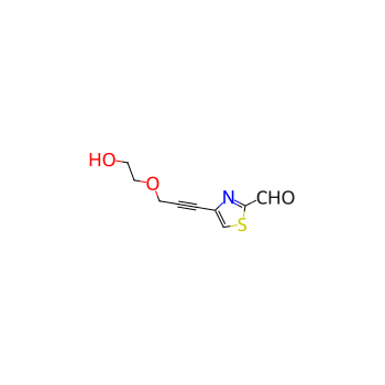 O=Cc1nc(C#CCOCCO)cs1